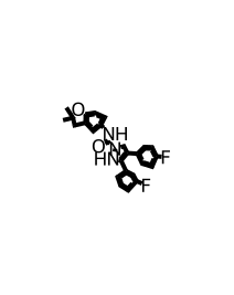 CC1(C)Cc2cc(NC(=O)N3CC(c4ccc(F)cc4)=C(c4cccc(F)c4)N3)ccc2O1